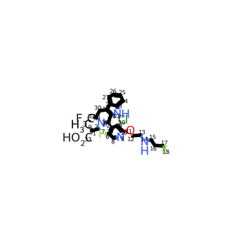 CC(CN1[C@H](c2c(F)cnc(OCCNCCCF)c2Cl)c2[nH]c3ccccc3c2C[C@H]1C(F)(F)F)C(=O)O